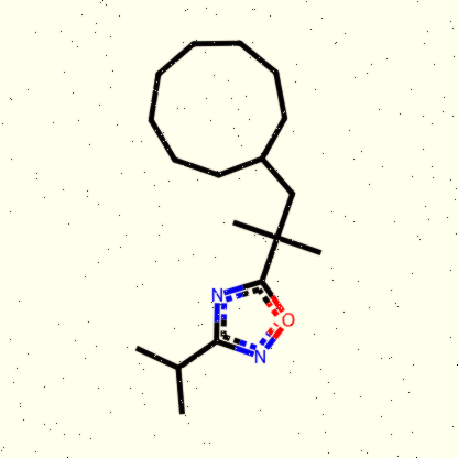 CC(C)c1noc(C(C)(C)CC2CCCCCCCC2)n1